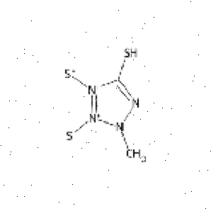 Cn1nc(S)[n+]([S-])[n+]1[S-]